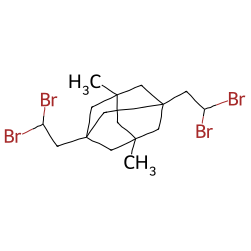 CC12CC3(C)CC(CC(Br)Br)(C1)CC(CC(Br)Br)(C2)C3